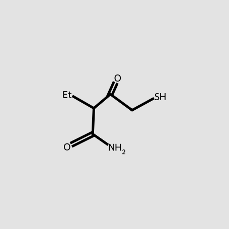 CCC(C(N)=O)C(=O)CS